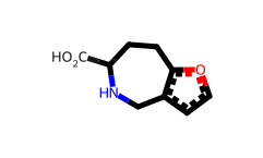 O=C(O)C1CCc2occc2CN1